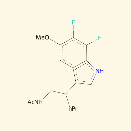 CCCC(CNC(C)=O)c1c[nH]c2c(F)c(F)c(OC)cc12